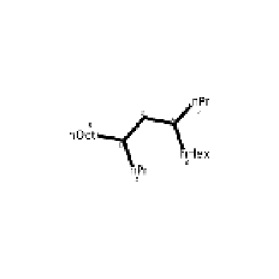 CCCCCCCCC(CCC)CC(CCC)CCCCCC